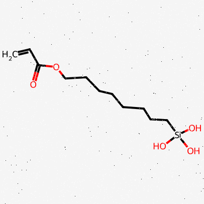 C=CC(=O)OCCCCCCCC[Si](O)(O)O